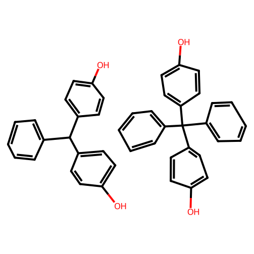 Oc1ccc(C(c2ccccc2)(c2ccccc2)c2ccc(O)cc2)cc1.Oc1ccc(C(c2ccccc2)c2ccc(O)cc2)cc1